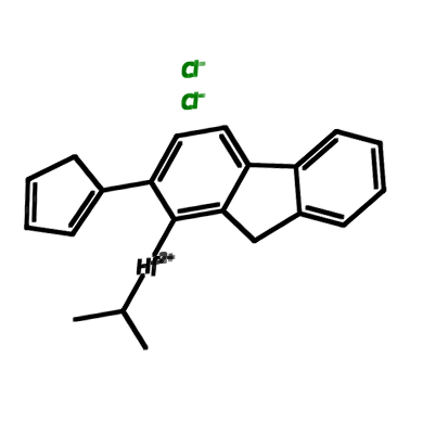 C[CH](C)[Hf+2][c]1c(C2=CC=CC2)ccc2c1Cc1ccccc1-2.[Cl-].[Cl-]